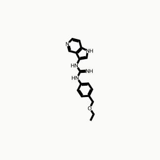 CCOCc1ccc(NC(=N)Nc2c[nH]c3ccncc23)cc1